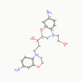 Nc1ccc2c(c1)OCCN2CCC(O)C1CN(CCO)c2ccc(N)cc2O1